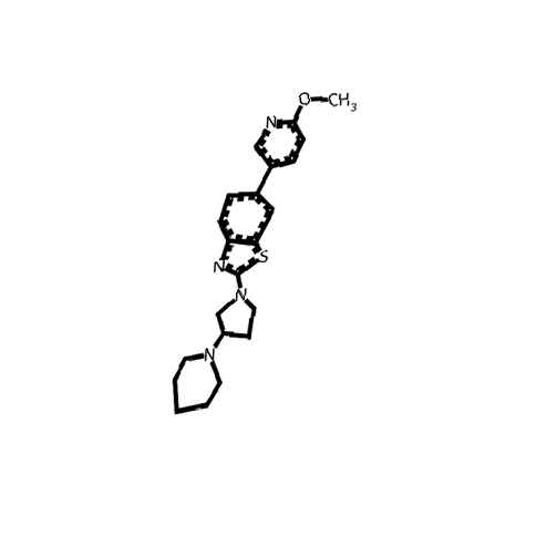 COc1ccc(-c2ccc3nc(N4CCC(N5CCCCC5)C4)sc3c2)cn1